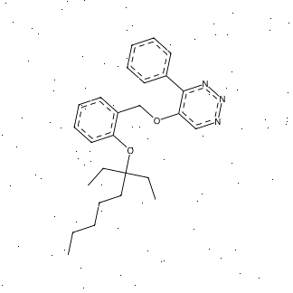 CCCCCC(CC)(CC)Oc1ccccc1COc1cnnnc1-c1ccccc1